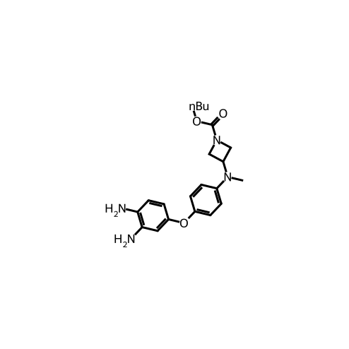 CCCCOC(=O)N1CC(N(C)c2ccc(Oc3ccc(N)c(N)c3)cc2)C1